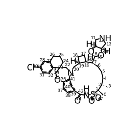 C[C@@H]1[C@@H](C)CCC[C@H]([C@@H]2O[C@H]3CNC[C@H]3O2)[C@@H]2CC[C@H]2CN2C[C@@]3(CCCc4cc(Cl)ccc43)COc3ccc(cc32)C(=O)NS1(=O)=O